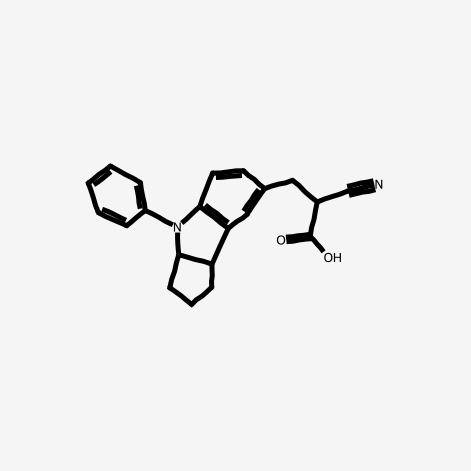 N#CC(Cc1ccc2c(c1)C1CCCC1N2c1ccccc1)C(=O)O